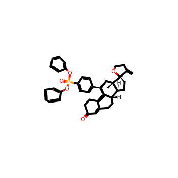 C=C1CCO[C@]12CC[C@H]1[C@@H]3CCC4=CC(=O)CCC4=C3[C@@H](c3ccc(P(=O)(Oc4ccccc4)Oc4ccccc4)cc3)C[C@@]12C